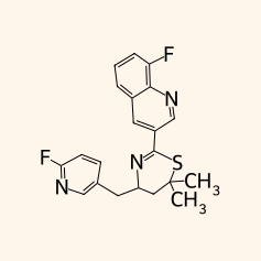 CC1(C)CC(Cc2ccc(F)nc2)N=C(c2cnc3c(F)cccc3c2)S1